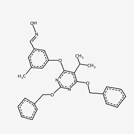 Cc1cc(/C=N/O)cc(Oc2nc(OCc3ccccc3)nc(OCc3ccccc3)c2C(C)C)c1